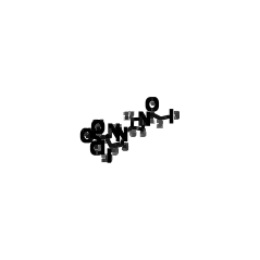 O=C(CI)N1CC(n2cc(I)c(S(=O)(=O)Cl)n2)C1